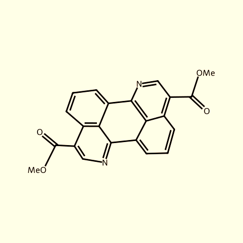 COC(=O)c1cnc2c3cccc4c(C(=O)OC)cnc(c5cccc1c52)c43